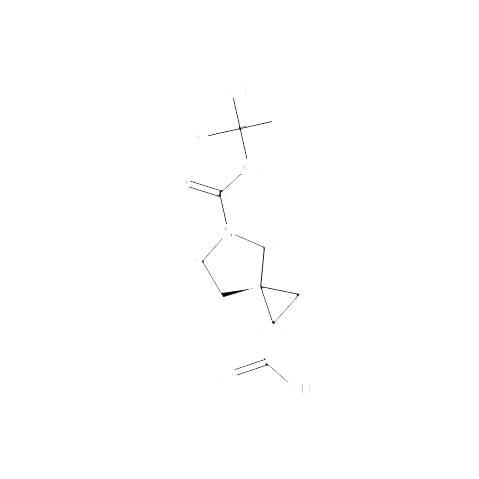 CC(C)(C)OC(=O)N1CC[C@]2(C[C@@H]2C(=O)O)C1